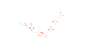 O.O.O.O=P([O-])([O-])[O-].O=P([O-])([O-])[O-].O=P([O-])([O-])[O-].O=P([O-])([O-])[O-].[Ca+2].[Ca+2].[Ca+2].[Zn+2].[Zn+2].[Zn+2]